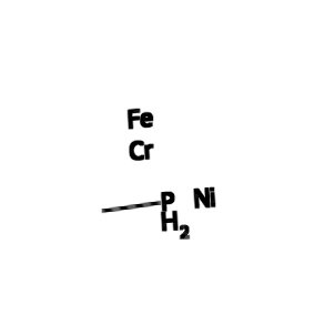 CP.[Cr].[Fe].[Ni]